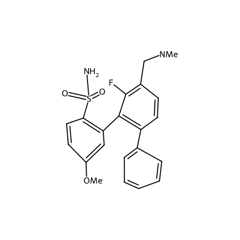 CNCc1ccc(-c2ccccc2)c(-c2cc(OC)ccc2S(N)(=O)=O)c1F